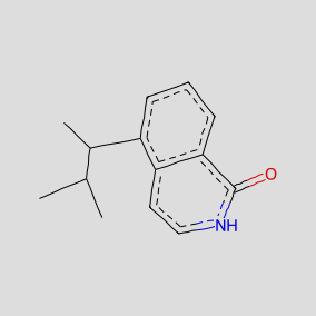 CC(C)C(C)c1cccc2c(=O)[nH]ccc12